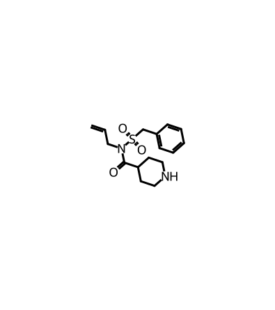 C=CCN(C(=O)C1CCNCC1)S(=O)(=O)Cc1ccccc1